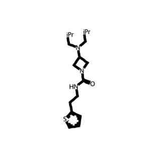 CC(C)CN(CC(C)C)C1CN(C(=O)NCCc2cccs2)C1